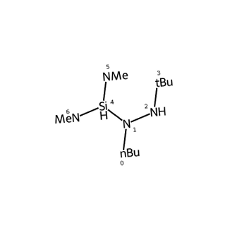 CCCCN(NC(C)(C)C)[SiH](NC)NC